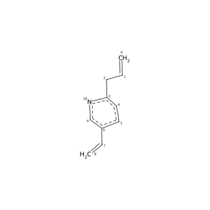 C=CCc1ccc(C=C)cn1